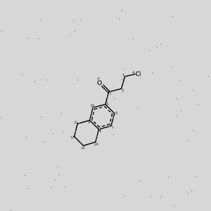 O=C(CCCl)c1ccc2c(c1)CCCC2